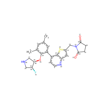 Cc1cc(C(F)(F)F)cc(-c2ccnc3cc(CN4C(=O)CCC4=O)sc23)c1O[C@@H]1CNC[C@@H]1F